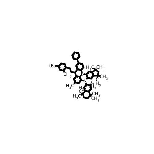 Cc1cc2c3c(c1)N(c1cc4c(cc1C)C(C)(C)CCC4(C)C)c1cc4c(cc1B3c1ccc(-c3ccccc3)cc1C2CCc1ccc(C(C)(C)C)cc1C)C(C)(C)CC4(C)C